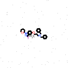 C=C(CCN(Cc1ccccc1)Cc1ccccc1)Oc1ccc2c(c1)c(I)nn2C1CCCCO1